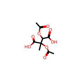 CC(=O)OC(C(=O)O)C(C)(OC(C)=O)C(=O)O